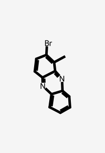 Cc1c(Br)ccc2nc3ccccc3nc12